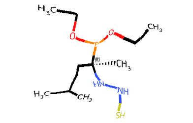 CCOP(OCC)[C@](C)(CC(C)C)NNS